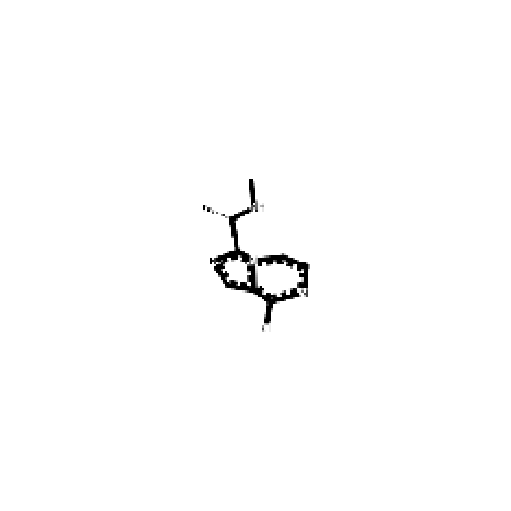 CN[C@@H](C)c1ncc2c(Cl)nccn12